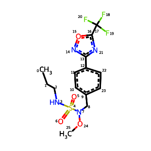 CCCNS(=O)(=O)N(Cc1ccc(-c2noc(C(F)(F)F)n2)cc1)OC